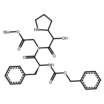 CC(C)(C)OC(=O)CN(C(=O)C(O)C1CCCN1)C(=O)[C@H](Cc1ccccc1)NC(=O)OCc1ccccc1